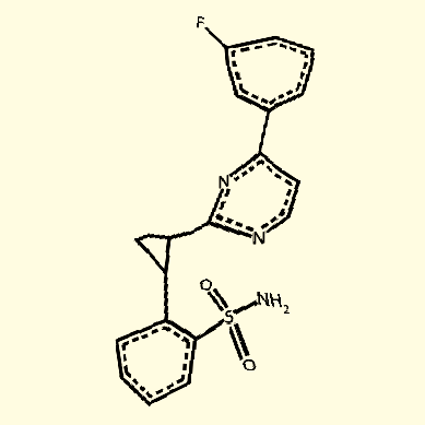 NS(=O)(=O)c1ccccc1C1CC1c1nccc(-c2cccc(F)c2)n1